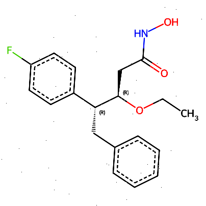 CCO[C@H](CC(=O)NO)[C@H](Cc1ccccc1)c1ccc(F)cc1